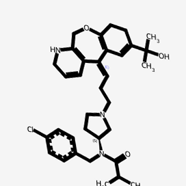 CC(C)C(=O)N(Cc1ccc(Cl)cc1)[C@H]1CCN(CC/C=C2\C3=C(COC4=C2C=C(C(C)(C)O)CC4)NCC=C3)C1